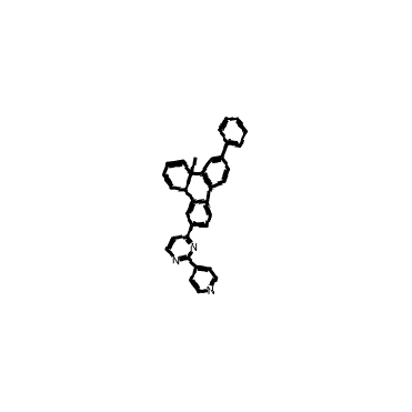 CC12C=CC=CC1c1cc(-c3ccnc(-c4ccncc4)n3)ccc1-c1ccc(-c3ccccc3)cc12